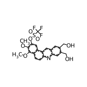 COc1c(OS(=O)(=O)C(F)(F)F)cc2c(ccc3nc4cc(CO)c(CO)cc4cc32)c1OC